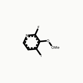 COOc1c(I)ccnc1F